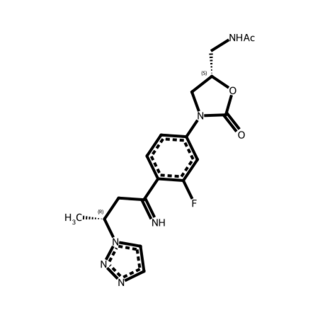 CC(=O)NC[C@H]1CN(c2ccc(C(=N)C[C@@H](C)n3ccnn3)c(F)c2)C(=O)O1